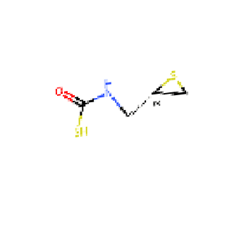 O=C(S)NC[C@H]1CS1